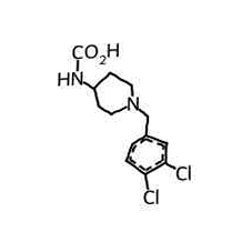 O=C(O)NC1CCN(Cc2ccc(Cl)c(Cl)c2)CC1